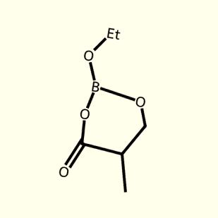 CCOB1OCC(C)C(=O)O1